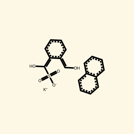 O=S(=O)([O-])C(O)=c1ccccc1=CO.[K+].c1ccc2ccccc2c1